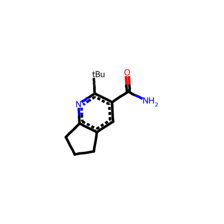 CC(C)(C)c1nc2c(cc1C(N)=O)CCC2